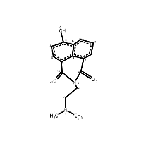 CN(C)CCN1C(=O)c2cccc3c(O)ccc(c23)C1=O